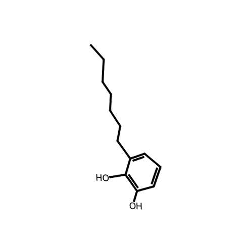 CCCCCCCc1cccc(O)c1O